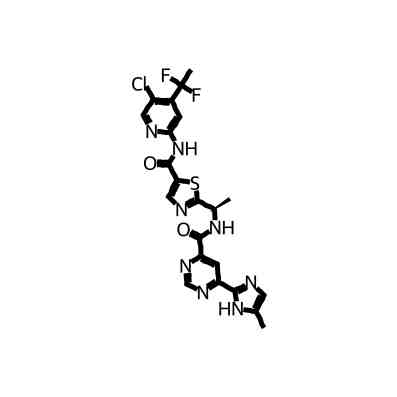 Cc1cnc(-c2cc(C(=O)N[C@H](C)c3ncc(C(=O)Nc4cc(C(C)(F)F)c(Cl)cn4)s3)ncn2)[nH]1